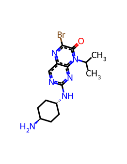 CC(C)n1c(=O)c(Br)nc2cnc(N[C@H]3CC[C@H](N)CC3)nc21